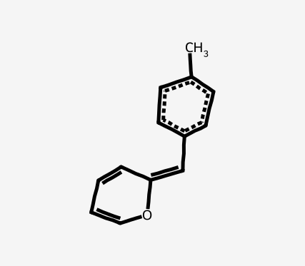 Cc1ccc(C=C2C=CC=CO2)cc1